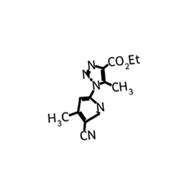 CCOC(=O)c1nnn(-c2cc(C)c(C#N)cn2)c1C